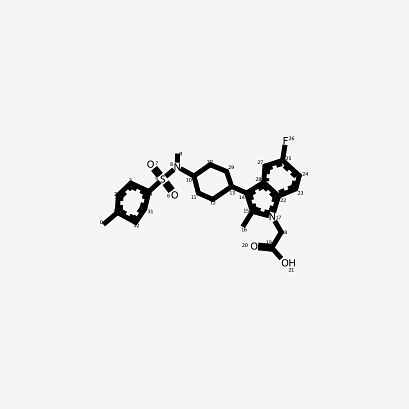 Cc1ccc(S(=O)(=O)N(C)C2CCC(c3c(C)n(CC(=O)O)c4ccc(F)cc34)CC2)cc1